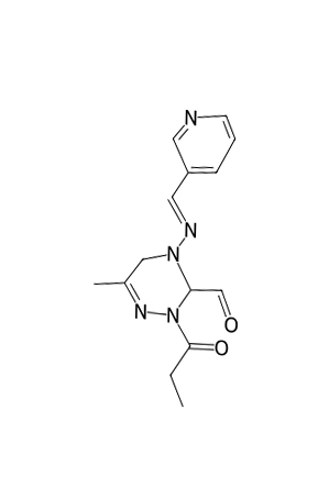 CCC(=O)N1N=C(C)CN(N=Cc2cccnc2)C1C=O